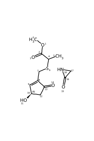 COC(=O)C(C)SCC1=C[C@H](O)CC1=O.O=C1CN1